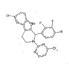 Fc1c(Br)ccc(C2c3[nH]c4ccc(Cl)cc4c3CCN2c2nccc(C(F)(F)F)n2)c1F